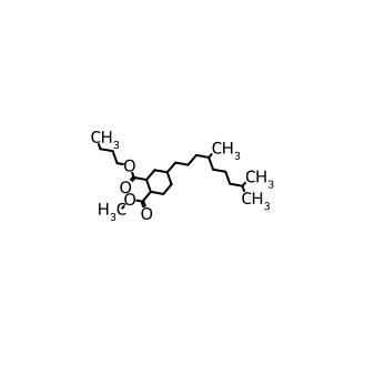 CCCCOC(=O)C1CC(CCCC(C)CCCC(C)C)CCC1C(=O)OC